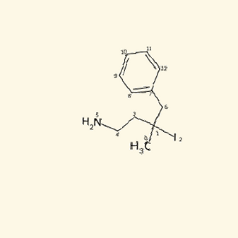 CC(I)(CCN)Cc1ccccc1